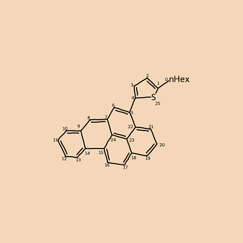 CCCCCCc1ccc(-c2cc3cc4ccccc4c4ccc5cccc2c5c34)s1